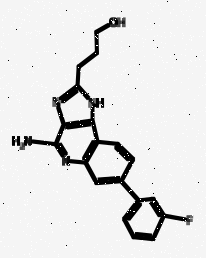 Nc1nc2cc(-c3cccc(F)c3)ccc2c2[nH]c(CCCO)nc12